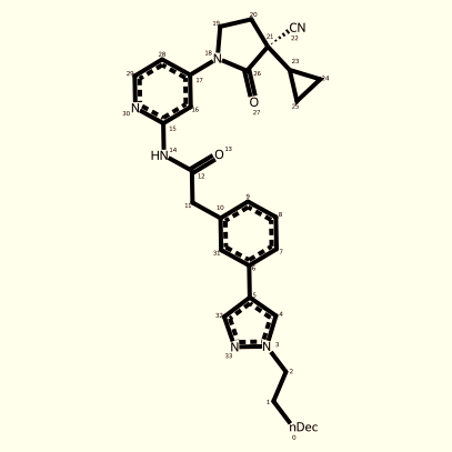 CCCCCCCCCCCCn1cc(-c2cccc(CC(=O)Nc3cc(N4CC[C@@](C#N)(C5CC5)C4=O)ccn3)c2)cn1